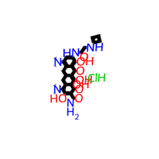 CN(C)c1cc(NC(=O)CNC2CCC2)c(O)c2c1CC1CC3[C@H](N(C)C)C(O)=C(C(N)=O)C(=O)C3(O)C(O)=C1C2=O.Cl